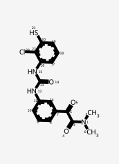 CN(C)C(=O)C(=O)c1cccc(NC(=O)Nc2cccc(S)c2Cl)c1